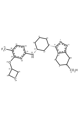 O=C(O)C1CCn2c(nnc2[C@H]2CCC[C@@H](Nc3ncc(C(F)(F)F)c(OC4COC4)n3)C2)C1